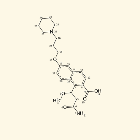 COC(CC(N)=O)c1c(C(=O)O)ccc2cc(OCCCN3CCCCC3)ccc12